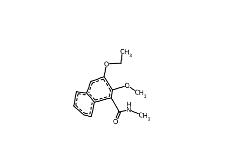 CCOc1cc2ccccc2c(C(=O)NC)c1OC